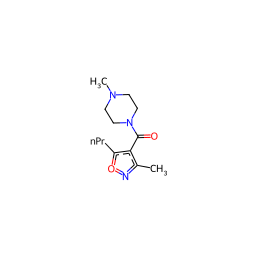 CCCc1onc(C)c1C(=O)N1CCN(C)CC1